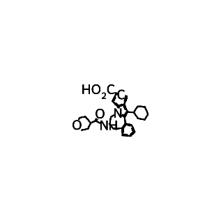 O=C(O)c1ccc2c(C3CCCCC3)c3n(c2c1)CC(NC(=O)C1CCOCC1)Cc1ccccc1-3